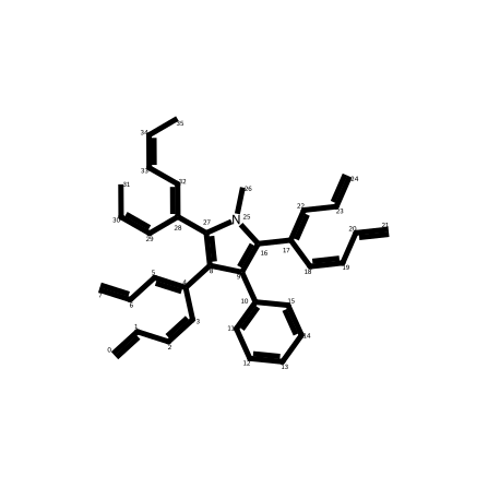 C=C/C=C\C(=C/C=C)c1c(-c2ccccc2)c(C(/C=C\C=C)=C/C=C)n(C)c1C(/C=C\C)=C/C=C\C